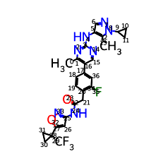 Cc1nc(Nc2cnn(C3CC3)c2C)ncc1-c1ccc(CC(=O)Nc2cc(C3(C(F)(F)F)CC3)on2)c(F)c1